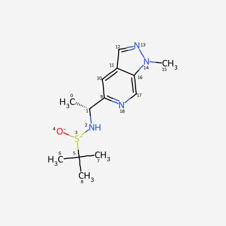 C[C@@H](N[S+]([O-])C(C)(C)C)c1cc2cnn(C)c2cn1